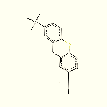 CC(C)(C)c1ccc2c(c1)Cc1cc(C(C)(C)C)ccc1S2